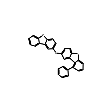 c1ccc(-c2cccc3oc4ccc(Nc5ccc6oc7ccccc7c6c5)cc4c23)cc1